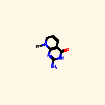 CC(C)N1CC=Cc2c1nc(N)[nH]c2=O